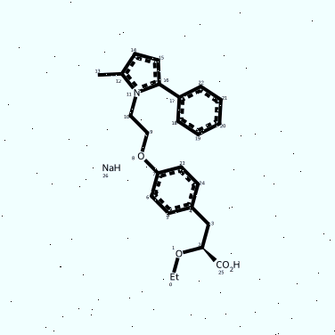 CCO[C@@H](Cc1ccc(OCCn2c(C)ccc2-c2ccccc2)cc1)C(=O)O.[NaH]